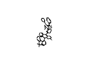 Cc1ccc2c(-c3ccc4nc(-c5ccccc5)c(-c5ccccc5)nc4c3)c3ccccc3c(-c3cccc4c3-c3ccccc3C4(C)C)c2c1